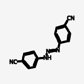 N#Cc1ccc(/N=N/Nc2ccc(C#N)cc2)cc1